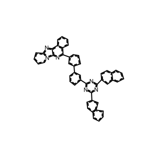 c1cc(-c2cccc(-c3nc4c(nc5ccccn54)c4ccccc34)c2)cc(-c2nc(-c3ccc4ccccc4c3)nc(-c3ccc4ccccc4c3)n2)c1